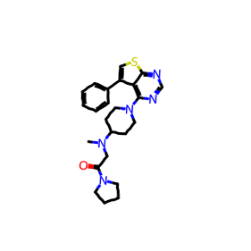 CN(CC(=O)N1CCCC1)C1CCN(c2ncnc3scc(-c4ccccc4)c23)CC1